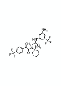 C=C(C(=O)N(CC(=O)Nc1cc(N)cc(C(F)(F)F)c1)C1(N)CCCCC1)c1ccc(C(F)(F)F)cc1